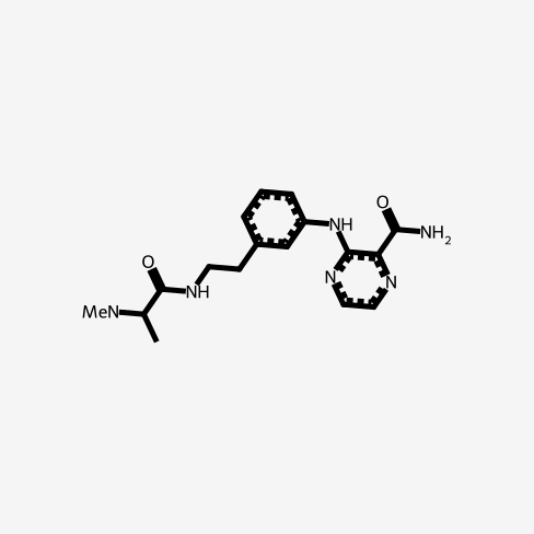 CNC(C)C(=O)NCCc1cccc(Nc2nccnc2C(N)=O)c1